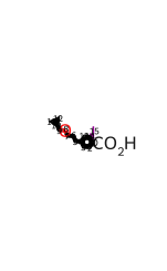 O=C(O)c1ccc(CCCOCC2CC2)cc1I